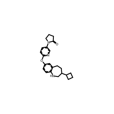 O=C1CCCN1c1ccc(Oc2ccc3c(c2)CCC(C2CCC2)CN3)nc1